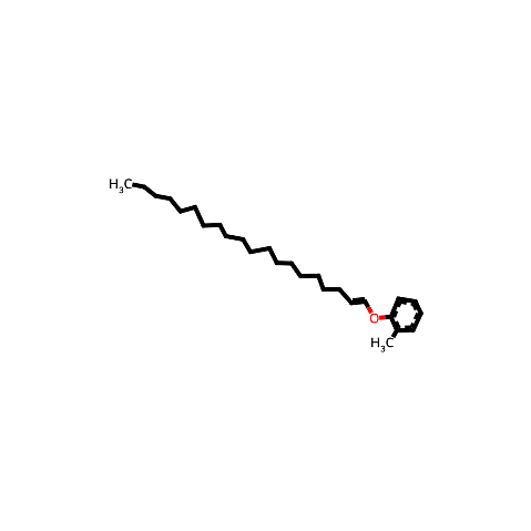 CCCCCCCCCCCCCCCCCCC=COc1ccccc1C